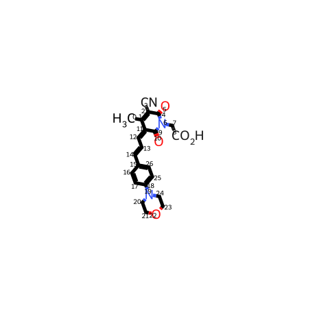 CC1=C(C#N)C(=O)N(CC(=O)O)C(=O)/C1=C\C=C\c1ccc(N2CCOCC2)cc1